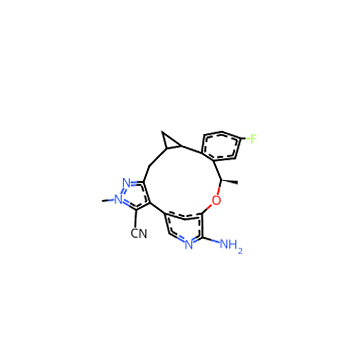 C[C@H]1Oc2cc(cnc2N)-c2c(nn(C)c2C#N)CC2CC2c2ccc(F)cc21